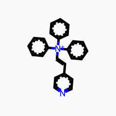 C(=C\[N+](c1ccccc1)(c1ccccc1)c1ccccc1)/c1ccncc1